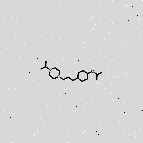 CC(C)OC1CCC(CCCN2CCN(C(C)C)CC2)CC1